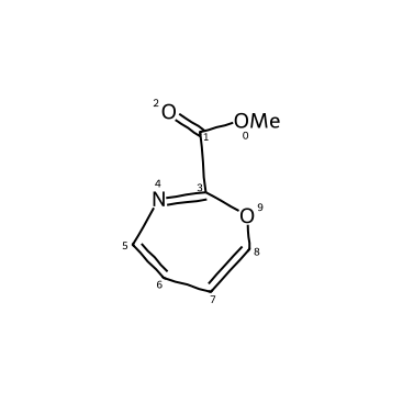 COC(=O)C1=NC=CC=CO1